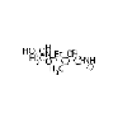 CC/C(=C\c1cc(C)c(-c2ccc(NC3CCCC3)cc2F)cc1C)C(=O)N[C@H](C)C(=O)O